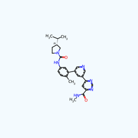 CNC(=O)c1cc(-c2cncc(-c3cc(NC(=O)N4CC[C@H](C(C)C)C4)ccc3C)c2)ncn1